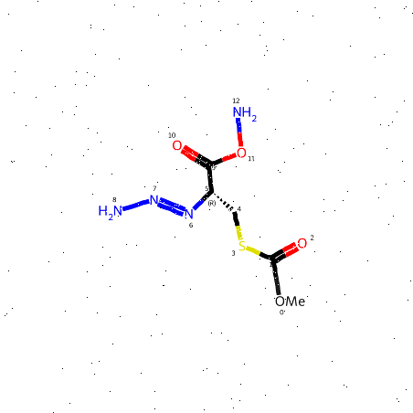 COC(=O)SC[C@H](N=NN)C(=O)ON